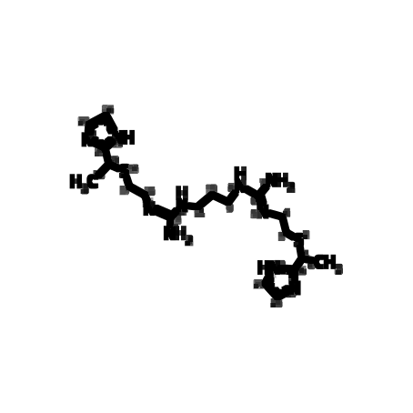 CC(SCCN=C(N)NCCCNC(N)=NCCSC(C)c1ncc[nH]1)c1ncc[nH]1